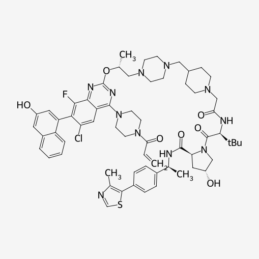 C=CC(=O)N1CCN(c2nc(O[C@H](C)CN3CCN(CC4CCN(CC(=O)N[C@H](C(=O)N5C[C@H](O)C[C@H]5C(=O)N[C@@H](C)c5ccc(-c6scnc6C)cc5)C(C)(C)C)CC4)CC3)nc3c(F)c(-c4cc(O)cc5ccccc45)c(Cl)cc23)CC1